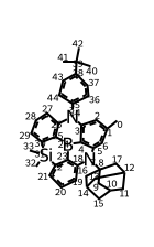 Cc1cc2c3c(c1)N(C14CC5CC(CC(C5)C1)C4)c1cccc4c1B3c1c(cccc1[Si]4(C)C)N2c1ccc(C(C)(C)C)cc1